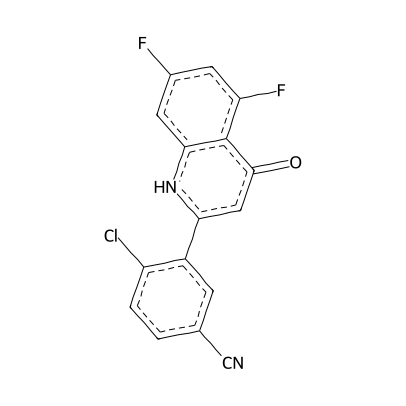 N#Cc1ccc(Cl)c(-c2cc(=O)c3c(F)cc(F)cc3[nH]2)c1